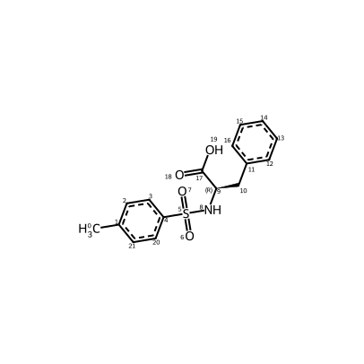 Cc1ccc(S(=O)(=O)N[C@H](Cc2ccccc2)C(=O)O)cc1